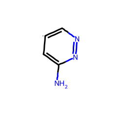 Nc1c[c]cnn1